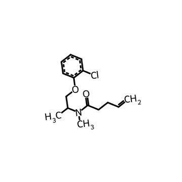 C=CCCC(=O)N(C)C(C)COc1ccccc1Cl